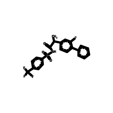 CC(C(=O)NS(=O)(=O)c1ccc(C(F)(F)F)cc1)c1ccc(-c2ccccc2)c(F)c1